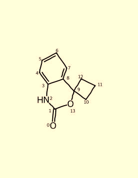 O=C1Nc2ccccc2C2(CCC2)O1